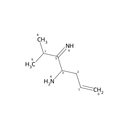 C=CCC(N)C(=N)C(C)C